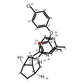 Cc1cc(N2C[C@H]3CC[C@@H](C2)[C@H]3Nc2nc(Oc3ccc(Cl)cc3)n(C)n2)ncn1